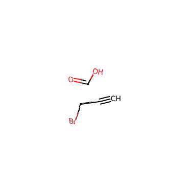 C#CCBr.O=CO